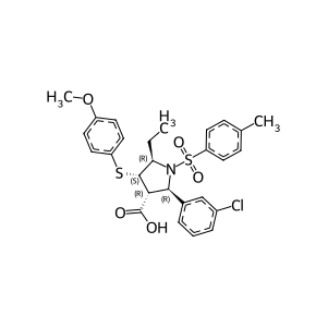 CC[C@@H]1[C@@H](Sc2ccc(OC)cc2)[C@@H](C(=O)O)[C@H](c2cccc(Cl)c2)N1S(=O)(=O)c1ccc(C)cc1